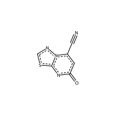 N#Cc1cc(=O)nc2scnn12